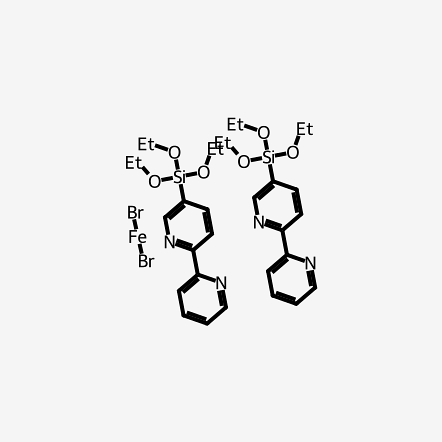 CCO[Si](OCC)(OCC)c1ccc(-c2ccccn2)nc1.CCO[Si](OCC)(OCC)c1ccc(-c2ccccn2)nc1.[Br][Fe][Br]